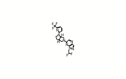 FC(F)Cn1ncc2ncc(N3C[C@@H]4CCN(c5cccc(C(F)(F)F)n5)[C@@H]4C3)nc21